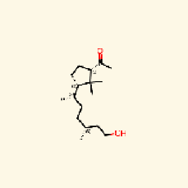 CC(=O)[C@H]1CC[C@@H]([C@@H](C)CC[C@@H](C)CCO)C1(C)C